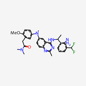 COc1ccc(N(C)c2ccc3nc(C)nc(NC(C)c4cccc(C(F)F)c4N)c3c2)cc1CC(=O)N(C)C